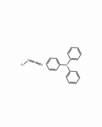 [N-]=[N+]=[N][Au].c1ccc(P(c2ccccc2)c2ccccc2)cc1